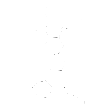 CCOC(=O)C1CC2CC(N3C[C@@H](F)CCC3C(=O)OCC)CCC2CN1C(=O)OC